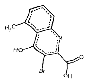 Cc1cccc2nc(C(=O)O)c(Br)c(O)c12